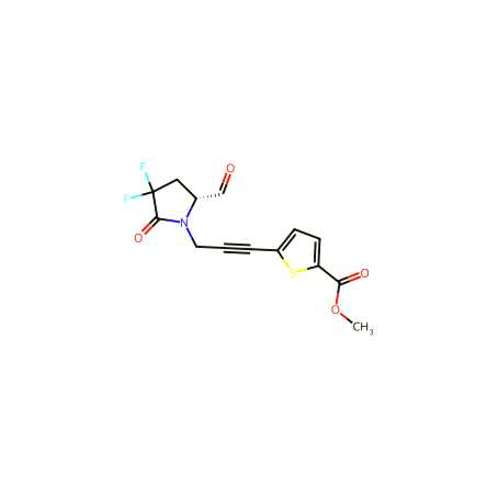 COC(=O)c1ccc(C#CCN2C(=O)C(F)(F)C[C@@H]2C=O)s1